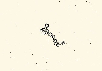 Cc1cc(COC2CCC(C(O)CC3c4ccccc4-c4cncn43)CC2)ccc1C(=O)O